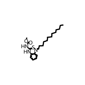 CCCCCCCCCCCCC=Nc1ccccc1NC(=S)NC(=O)OC